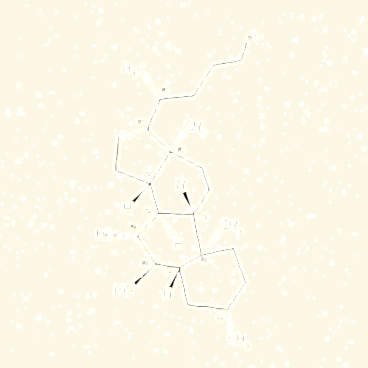 CC(C)CCC[C@@H](C)[C@H]1CC[C@H]2[C@@H]3[C@@H](O)[C@H](O)[C@H]4C[C@@H](C)CC[C@]4(C)[C@H]3CC[C@]12C